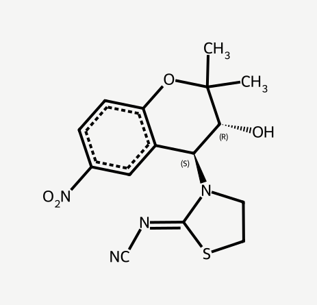 CC1(C)Oc2ccc([N+](=O)[O-])cc2[C@H](N2CCSC2=NC#N)[C@H]1O